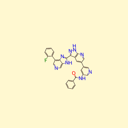 O=C(Nc1cncc(-c2cnc3[nH]nc(-c4nc5c(-c6ccccc6F)cncc5[nH]4)c3c2)c1)c1ccccc1